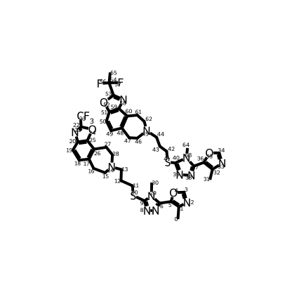 Cc1ncoc1-c1nnc(SCCCN2CCc3ccc4nc(C(F)(F)F)oc4c3CC2)n1C.Cc1ncoc1-c1nnc(SCCCN2CCc3ccc4oc(C(C)(F)F)nc4c3CC2)n1C